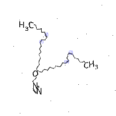 CCCCC/C=C\C/C=C\CCCCCCCCC(CCCCCCCC/C=C\C/C=C\CCCCC)OCCn1ccnc1